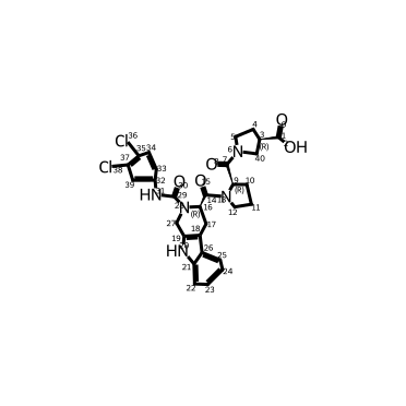 O=C(O)[C@@H]1CCN(C(=O)[C@H]2CCCN2C(=O)[C@H]2Cc3c([nH]c4ccccc34)CN2C(=O)Nc2ccc(Cl)c(Cl)c2)C1